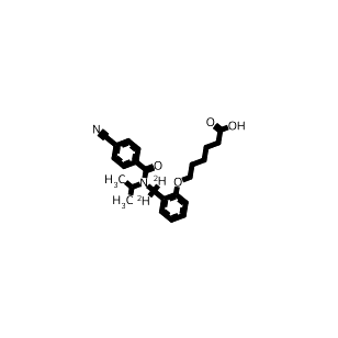 [2H]C([2H])(c1ccccc1OCCCCCC(=O)O)N(C(=O)c1ccc(C#N)cc1)C(C)C